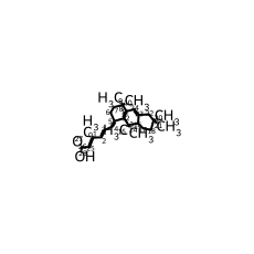 CC(/C=C/C=C1\CCC(C)(C)C2=C1C(C)(C)C1CCC(C)(C)CC1=C2)=C\C(=O)O